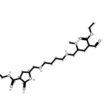 CCOC(=O)C(C=O)CC(COCCCCOCC1CC(C(=O)OCC)C(=O)O1)OC